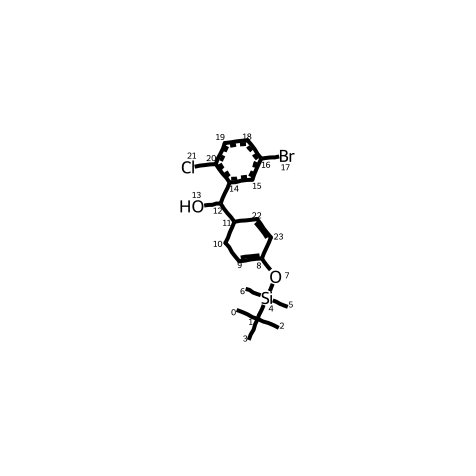 CC(C)(C)[Si](C)(C)OC1=CCC(C(O)c2cc(Br)ccc2Cl)C=C1